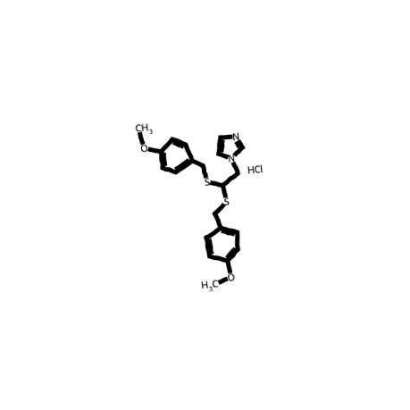 COc1ccc(CSC(Cn2ccnc2)SCc2ccc(OC)cc2)cc1.Cl